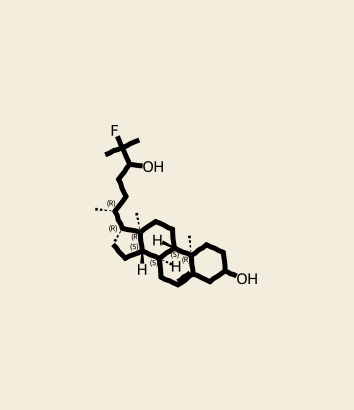 C[C@H](CCC(O)C(C)(C)F)[C@H]1CC[C@H]2[C@@H]3CC=C4CC(O)CC[C@]4(C)[C@H]3CC[C@]12C